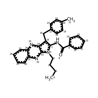 CCCCn1c(NC(=O)c2ccccc2)c(Cc2ccc(C)cc2)c2nc3ccccc3nc21